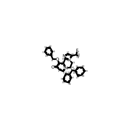 O=c1ccn2c(c1OCc1ccccc1)-c1ncc(C(F)F)n1C[C@@H]2C(c1ccccc1)c1ccccc1